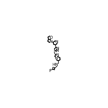 FC12CC(CNCc3ccc4nc(Cn5cc(-c6cncc(-n7ccc8ccoc87)c6)nn5)cn4c3)(C1)C2